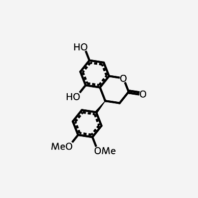 COc1ccc([C@@H]2CC(=O)Oc3cc(O)cc(O)c32)cc1OC